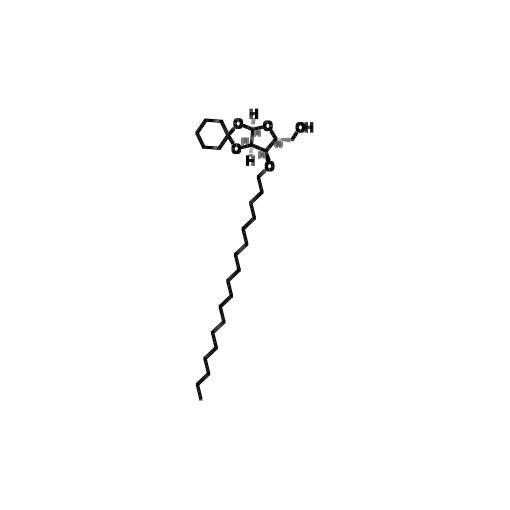 CCCCCCCCCCCCCCCCCCO[C@H]1[C@H]2OC3(CCCCC3)O[C@H]2O[C@@H]1CO